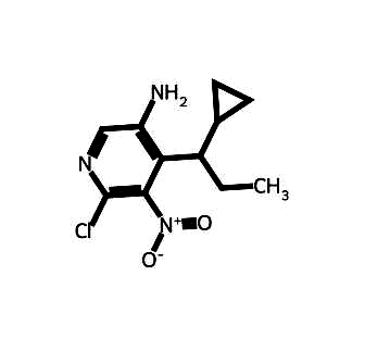 CCC(c1c(N)cnc(Cl)c1[N+](=O)[O-])C1CC1